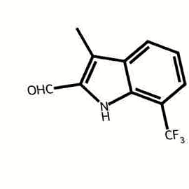 Cc1c(C=O)[nH]c2c(C(F)(F)F)cccc12